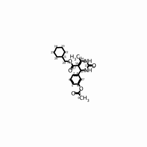 CC(=O)Oc1cccc(C2NC(=O)NC(C)=C2C(=O)OCC2CCCCC2)c1